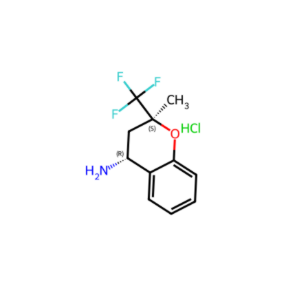 C[C@@]1(C(F)(F)F)C[C@@H](N)c2ccccc2O1.Cl